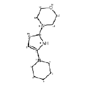 C1=C(N2CCCCC2)NC(N2CCOCC2)S1